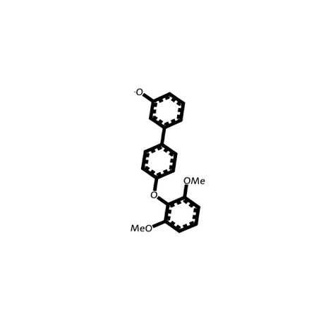 COc1cccc(OC)c1Oc1ccc(-c2cccc([O])c2)cc1